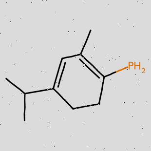 CC1=C(P)CCC(C(C)C)=C1